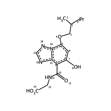 CC(C)C(C)COc1cc(O)c(C(=O)NCC(=O)O)c2ncnn12